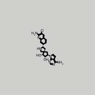 Nc1nc2cc([C@@H]3C[C@@]4(CN3)C[C@@H](n3ccc5c(N)ncnc53)[C@H](O)[C@@H]4O)ccc2cc1Cl